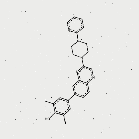 Cc1cc(-c2ccc3ncc(N4CCN(c5ccccn5)CC4)nc3c2)cc(C)c1O